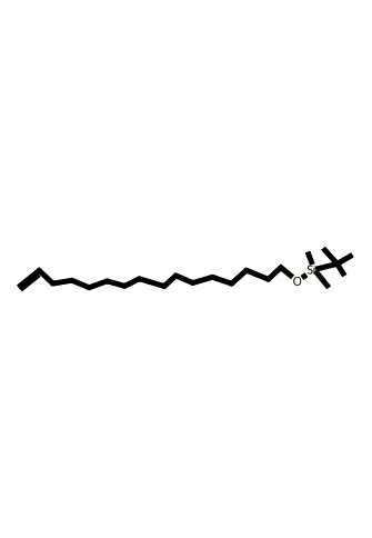 C=CCCCCCCCCCCCCCCO[Si](C)(C)C(C)(C)C